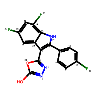 Oc1nnc(-c2c(-c3ccc(F)cc3)[nH]c3c(F)cc(F)cc23)o1